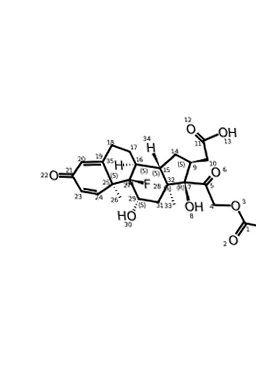 CC(=O)OCC(=O)[C@@]1(O)[C@H](CC(=O)O)C[C@H]2[C@@H]3CCC4=CC(=O)C=C[C@]4(C)[C@@]3(F)[C@@H](O)C[C@@]21C